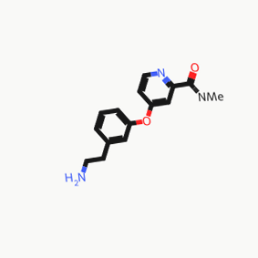 CNC(=O)c1cc(Oc2cccc(CCN)c2)ccn1